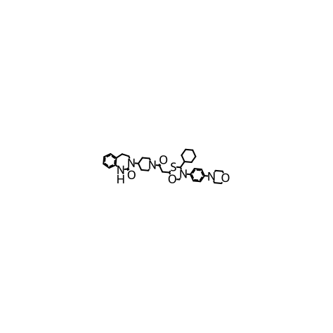 O=C(CC1OCN(c2ccc(N3CCOCC3)cc2)C(C2CCCCC2)S1)N1CCC(N2CCc3ccccc3NC2=O)CC1